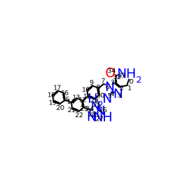 CCc1nc(N)n(Cc2ccc(-c3cc(-c4ccccc4)ccc3-c3nn[nH]n3)cc2)c1C(N)=O